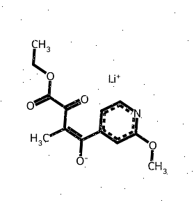 CCOC(=O)C(=O)C(C)=C([O-])c1ccnc(OC)c1.[Li+]